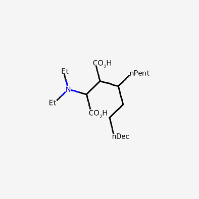 CCCCCCCCCCCCC(CCCCC)C(C(=O)O)C(C(=O)O)N(CC)CC